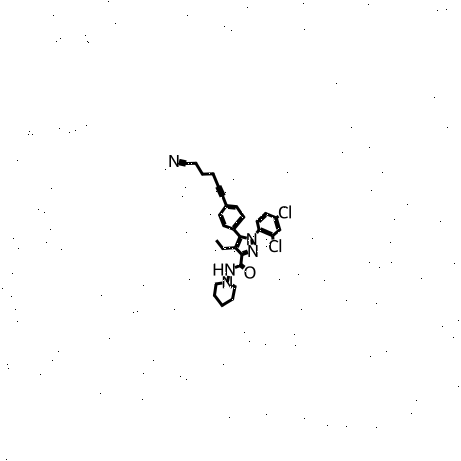 CCc1c(C(=O)NN2CCCCC2)nn(-c2ccc(Cl)cc2Cl)c1-c1ccc(C#CCCCC#N)cc1